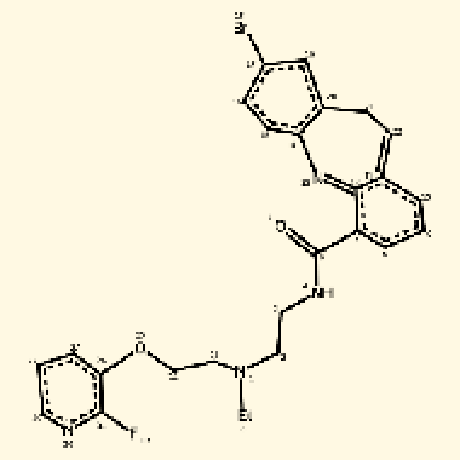 CCN(CCNC(=O)c1cccc2c1=Nc1ccc(Br)cc1CC=2)CCOc1cccnc1F